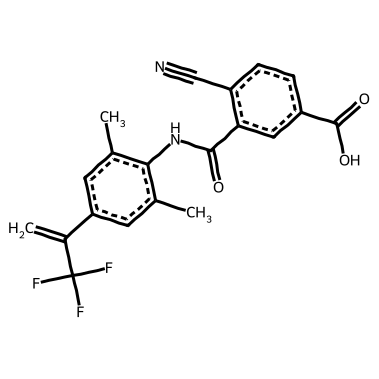 C=C(c1cc(C)c(NC(=O)c2cc(C(=O)O)ccc2C#N)c(C)c1)C(F)(F)F